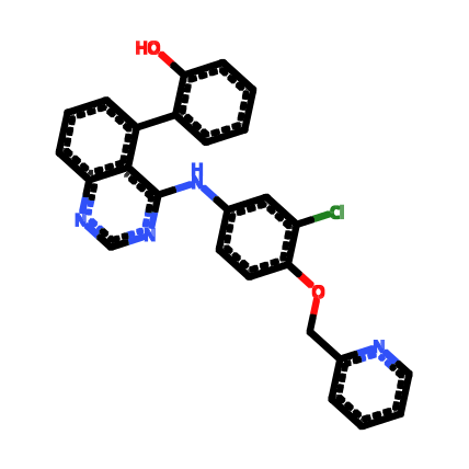 Oc1ccccc1-c1cccc2ncnc(Nc3ccc(OCc4ccccn4)c(Cl)c3)c12